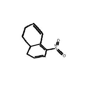 O=[SH](=O)C1=C2C=CCCC2CC=C1